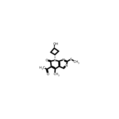 CSc1ncc2c(C)c(C(C)=O)c(=O)n([C@H]3C[C@H](O)C3)c2n1